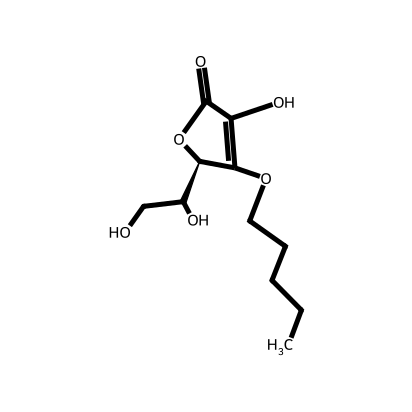 CCCCCOC1=C(O)C(=O)O[C@@H]1C(O)CO